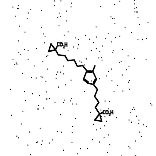 Cc1cc(CCCCC2(C(=O)O)CC2)ccc1CCCCCCC1(C(=O)O)CC1